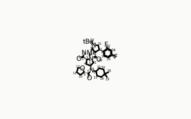 CNC(=O)[C@@H]1C[C@H](N(C(=O)[C@@H]2CCCO2)C2CCC(C)(C)CC2)C[N+]1(C)C(=O)[C@@H]1CN(C(C)(C)C)C[C@H]1c1ccc(F)cc1F